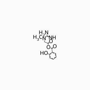 CN(CC(=O)OC(=O)c1ccccc1O)C(=N)N